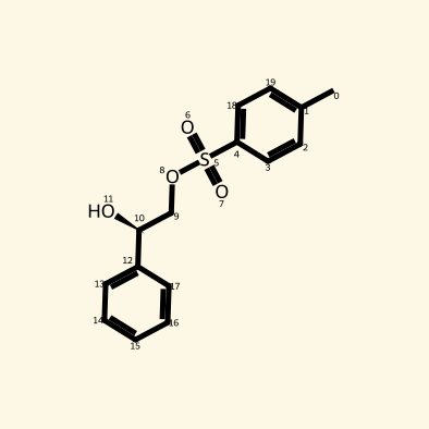 Cc1ccc(S(=O)(=O)OC[C@H](O)c2ccccc2)cc1